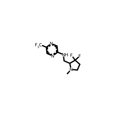 CN1CCC(F)(F)C1CNc1cnc(C(F)(F)F)cn1